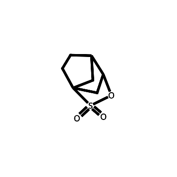 O=S1(=O)OC2CC13CCC2C3